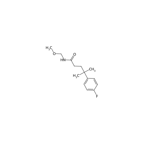 COCNC(=O)CCC(C)(C)c1ccc(F)cc1